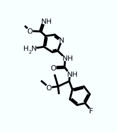 COC(=N)c1cnc(NC(=O)NC(c2ccc(F)cc2)C(C)(C)OC)cc1N